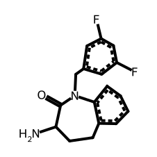 NC1CCc2ccccc2N(Cc2cc(F)cc(F)c2)C1=O